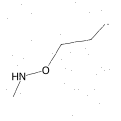 [CH2]CCONC